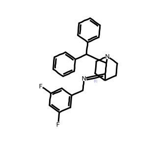 Fc1cc(F)cc(C/N=C2\C3CCN(CC3)C2C(c2ccccc2)c2ccccc2)c1